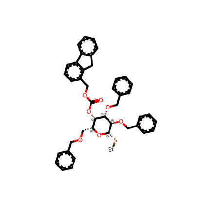 CCS[C@@H]1O[C@H](COCc2ccccc2)[C@H](OC(=O)OCc2cccc3c2Cc2ccccc2-3)[C@H](OCc2ccccc2)[C@H]1OCc1ccccc1